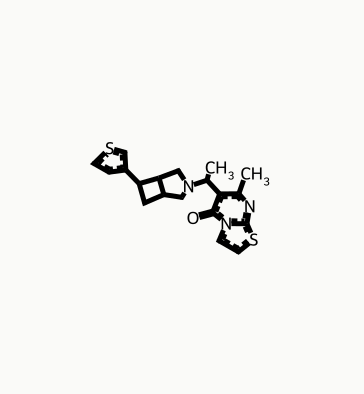 Cc1nc2sccn2c(=O)c1C(C)N1CC2CC(c3ccsc3)C2C1